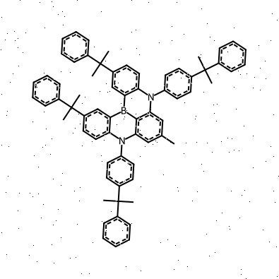 Cc1cc2c3c(c1)N(c1ccc(C(C)(C)c4ccccc4)cc1)c1ccc(C(C)(C)c4ccccc4)cc1B3c1cc(C(C)(C)c3ccccc3)ccc1N2c1ccc(C(C)(C)c2ccccc2)cc1